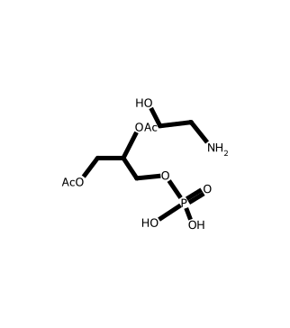 CC(=O)OCC(COP(=O)(O)O)OC(C)=O.NCCO